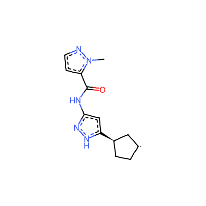 Cn1nccc1C(=O)Nc1cc([C@H]2C[CH]CC2)[nH]n1